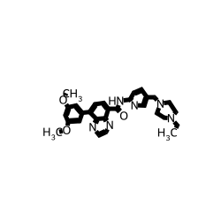 CCN1CCN(Cc2ccc(NC(=O)c3ccc(-c4cc(OC)cc(OC)c4)c4nccnc34)nc2)CC1